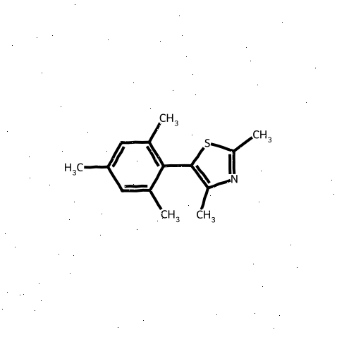 Cc1cc(C)c(-c2sc(C)nc2C)c(C)c1